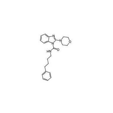 O=C(NCCCCc1ccccc1)n1c(N2CCOCC2)nc2ccccc21